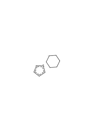 [CH]1CCCCC1.[c]1cccs1